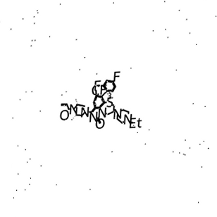 C=CC(=O)N1[C@H](C)CN(c2nc(=O)n3c4c(c(-c5ccc(F)cc5F)c(C(F)(F)F)cc24)SCC(N2CCN(CC)CC2)C3)C[C@@H]1C